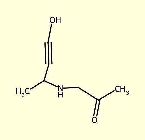 CC(=O)CNC(C)C#CO